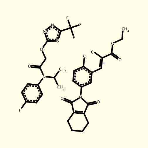 CC(C)N(C(=O)COc1nnc(C(F)(F)F)s1)c1ccc(F)cc1.CCOC(=O)/C(Cl)=C/c1cc(N2C(=O)C3=C(CCCC3)C2=O)ccc1Cl